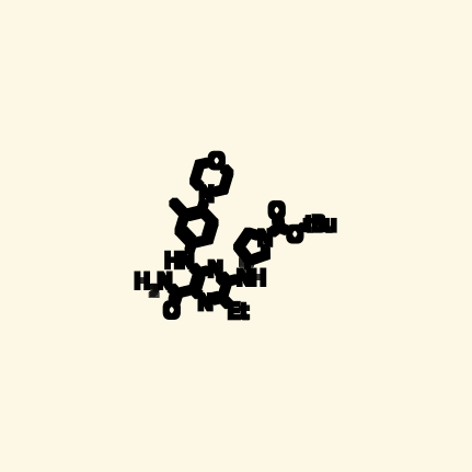 CCc1nc(C(N)=O)c(Nc2ccc(N3CCOCC3)c(C)c2)nc1N[C@@H]1CCN(C(=O)OC(C)(C)C)C1